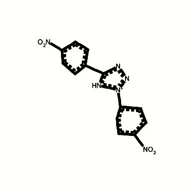 O=[N+]([O-])c1ccc(-c2nn[n+](-c3ccc([N+](=O)[O-])cc3)[nH]2)cc1